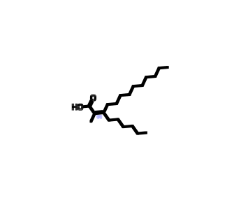 CCCCCCCCCC/C(CCCCCC)=C(/C)C(=O)O